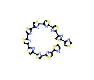 [c]1csc(-c2csc(-c3csc(-c4csc(-c5csc(-c6csc(-c7csc(-c8csc(-c9csc(-c%10csc(-c%11cscn%11)n%10)n9)n8)n7)n6)n5)n4)n3)n2)n1